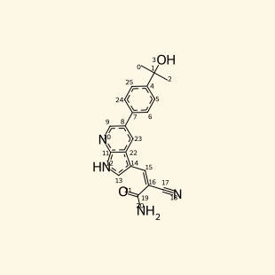 CC(C)(O)c1ccc(-c2cnc3[nH]cc(C=C(C#N)C(N)=O)c3c2)cc1